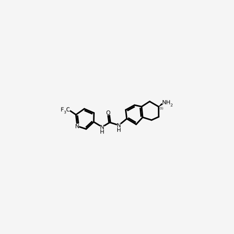 N[C@H]1CCc2cc(NC(=O)Nc3ccc(C(F)(F)F)nc3)ccc2C1